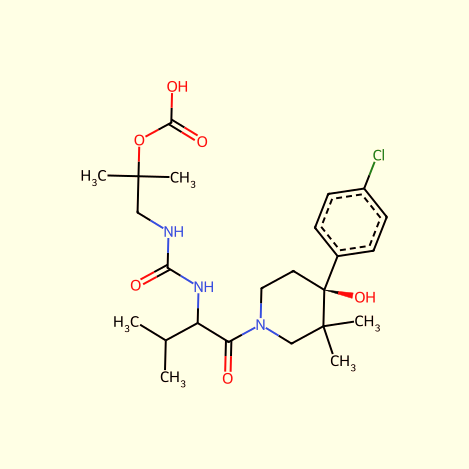 CC(C)C(NC(=O)NCC(C)(C)OC(=O)O)C(=O)N1CC[C@](O)(c2ccc(Cl)cc2)C(C)(C)C1